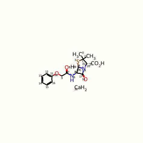 CC1(C)S[C@@H]2[C@H](NC(=O)COc3ccccc3)C(=O)N2[C@H]1C(=O)O.[CaH2]